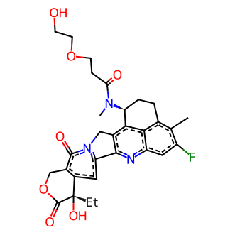 CC[C@@]1(O)C(=O)OCc2c1cc1n(c2=O)Cc2c-1nc1cc(F)c(C)c3c1c2[C@@H](N(C)C(=O)CCOCCO)CC3